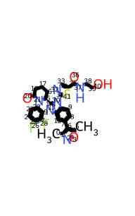 Cc1noc(C)c1-c1ccc2c(c1)nc([C@@H]1CCCC(=O)N1c1ccc(F)c(F)c1)n2-c1ncc(C(=O)NCCO)s1